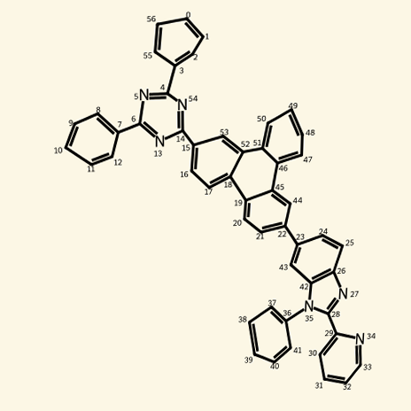 c1ccc(-c2nc(-c3ccccc3)nc(-c3ccc4c5ccc(-c6ccc7nc(-c8ccccn8)n(-c8ccccc8)c7c6)cc5c5ccccc5c4c3)n2)cc1